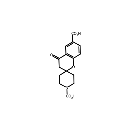 O=C(O)c1ccc2c(c1)C(=O)CC1(CCN(C(=O)O)CC1)O2